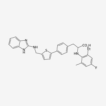 CCc1cc(F)cc(C)c1NC(Cc1ccc(-c2ccc(CNc3nc4ccccc4[nH]3)s2)cc1)C(=O)O